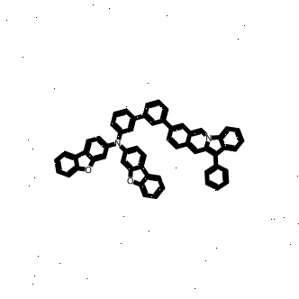 c1ccc(-c2c3ccccc3n3cc4cc(-c5cccc(-c6cccc(N(c7ccc8c(c7)oc7ccccc78)c7ccc8c(c7)oc7ccccc78)c6)c5)ccc4cc23)cc1